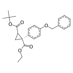 CCOC(=O)[C@@]1(c2ccc(OCc3ccccc3)cc2)CC1C(=O)OC(C)(C)C